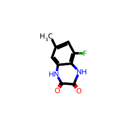 Cc1cc(F)c2[nH]c(=O)c(=O)[nH]c2c1